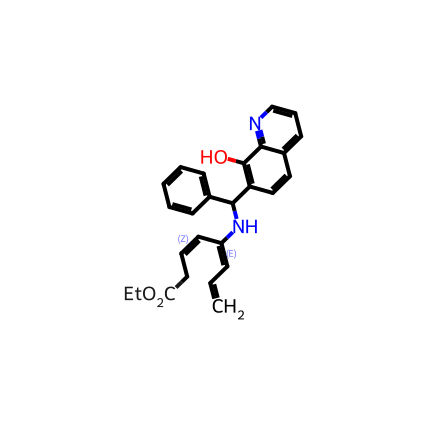 C=C/C=C(\C=C/CC(=O)OCC)NC(c1ccccc1)c1ccc2cccnc2c1O